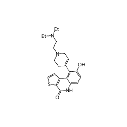 CCN(CC)CCN1CC=C(c2c(O)ccc3[nH]c(=O)c4sccc4c23)CC1